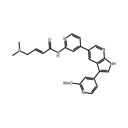 COc1cc(-c2c[nH]c3ncc(-c4ccnc(NC(=O)/C=C/CN(C)C)c4)cc23)ccn1